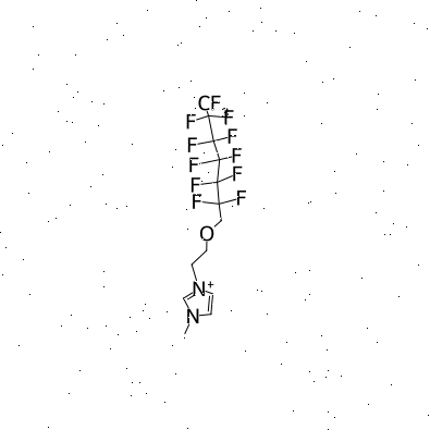 Cn1cc[n+](CCOCC(F)(F)C(F)(F)C(F)(F)C(F)(F)C(F)(F)C(F)(F)F)c1